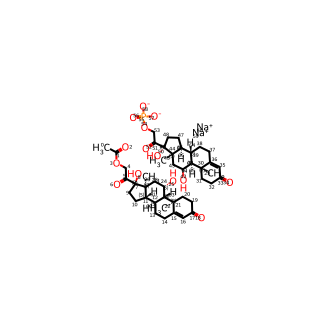 CC(=O)OCC(=O)[C@@]1(O)CC[C@H]2[C@@H]3CCC4=CC(=O)CC[C@]4(C)[C@H]3[C@@H](O)C[C@@]21C.C[C@]12CCC(=O)C=C1CC[C@@H]1[C@@H]2[C@@H](O)C[C@@]2(C)[C@H]1CC[C@]2(O)C(=O)COP(=O)([O-])[O-].[Na+].[Na+]